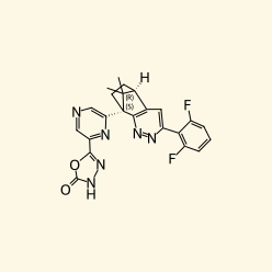 CC1(C)[C@H]2CC[C@]1(c1cncc(-c3n[nH]c(=O)o3)n1)c1nnc(-c3c(F)cccc3F)cc12